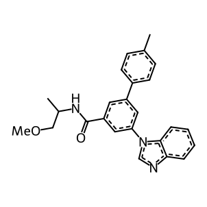 COCC(C)NC(=O)c1cc(-c2ccc(C)cc2)cc(-n2cnc3ccccc32)c1